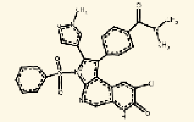 CN(C)C(=O)c1ccc(-c2c(-c3cnn(C)c3)n(S(=O)(=O)c3ccccc3)c3ncc4[nH]c(=O)c(Cl)cc4c23)cc1